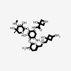 CN[C@@H]1[C@@H](O)[C@@H](O[C@@H]2[C@@H](O)[C@H](O[C@H]3OC(CNCC4(O)CC(N)C4)=CC[C@H]3N)[C@@H](N)C[C@H]2NC(=O)C2(O)CNC2)OC[C@]1(C)O